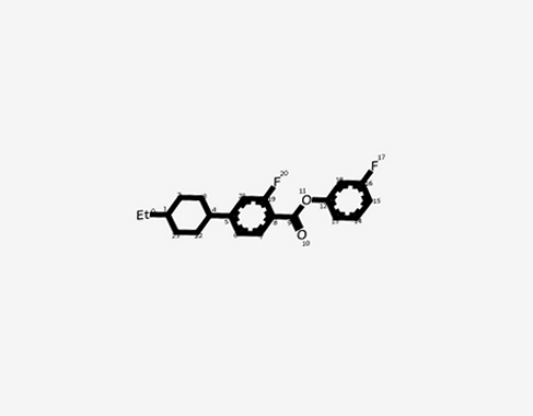 CCC1CCC(c2ccc(C(=O)Oc3cccc(F)c3)c(F)c2)CC1